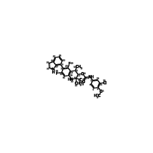 COc1ccc(NC(=O)OC2C(C)c3c(cc(F)c(-c4cccc5cc[nH]c45)c3F)NC2(C)C)cc1Cl